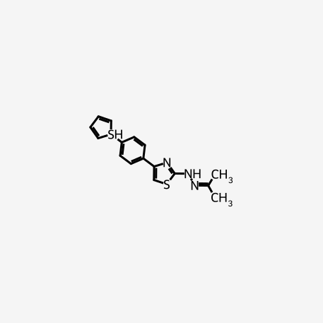 CC(C)=NNc1nc(-c2ccc([SH]3C=CC=C3)cc2)cs1